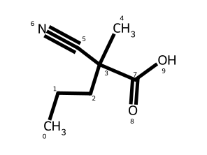 CCCC(C)(C#N)C(=O)O